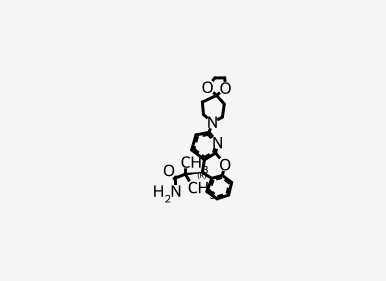 CC(C)(C(N)=O)[C@@H]1c2ccccc2Oc2nc(N3CCC4(CC3)OCCO4)ccc21